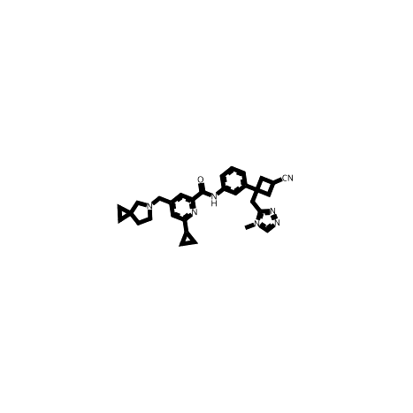 Cn1cnnc1CC1(c2cccc(NC(=O)c3cc(CN4CCC5(CC5)C4)cc(C4CC4)n3)c2)CC(C#N)C1